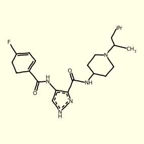 CC(C)CC(C)N1CCC(NC(=O)c2n[nH]cc2NC(=O)C2=CC=C(F)CC2)CC1